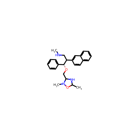 CNCC(c1ccc2ccccc2c1)[C@H](OCC1NC(C)ON1C)c1ccccc1